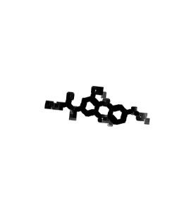 CNC(=O)Nc1cc(C)c(Oc2cccc(SC(F)(F)F)c2)c(C)c1